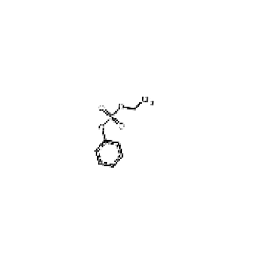 O=S(=O)(OCC(F)(F)F)Oc1ccccc1